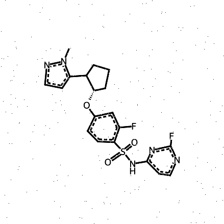 Cn1nccc1C1CCC[C@@H]1Oc1ccc(S(=O)(=O)Nc2ccnc(F)n2)c(F)c1